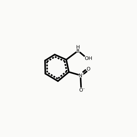 O=[N+]([O-])c1ccccc1BO